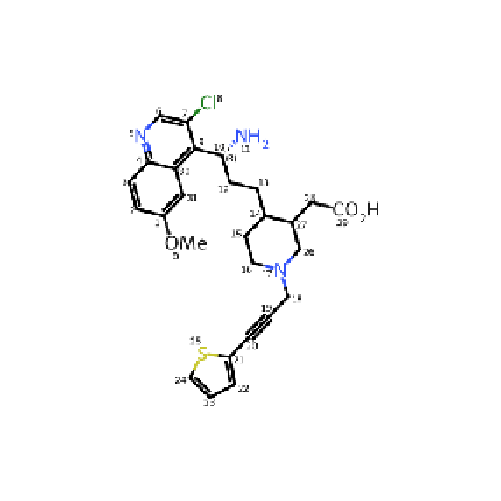 COc1ccc2ncc(Cl)c([C@H](N)CCC3CCN(CC#Cc4cccs4)CC3CC(=O)O)c2c1